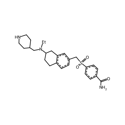 CCN(CC1CCNCC1)C1CCc2ccc(CS(=O)(=O)c3ccc(C(N)=O)cc3)cc2C1